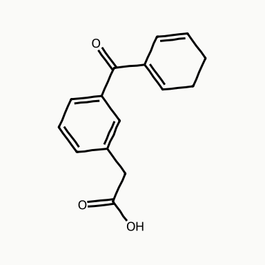 O=C(O)Cc1cccc(C(=O)C2=CCCC=C2)c1